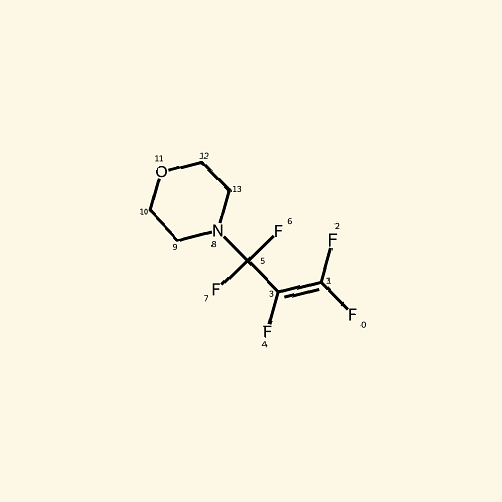 FC(F)=C(F)C(F)(F)N1CCOCC1